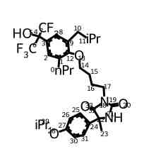 CCCc1cc(C(O)(C(F)(F)F)C(F)(F)F)cc(CC(C)C)c1OCCCCN1C(=O)NC(C)(c2ccc(OC(C)C)cc2)C1=O